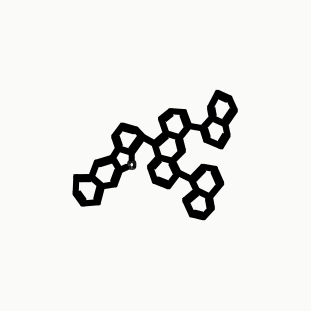 c1ccc2cc3c(cc2c1)oc1c(-c2c4cccc(-c5cccc6ccccc56)c4cc4c(-c5cccc6ccccc56)cccc24)cccc13